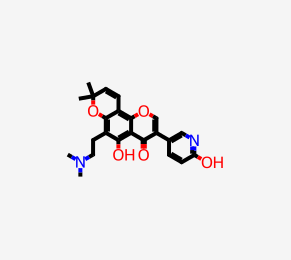 CN(C)CCc1c2c(c3occ(-c4ccc(O)nc4)c(=O)c3c1O)C=CC(C)(C)O2